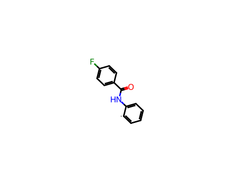 O=C(Nc1[c]cccc1)c1ccc(F)cc1